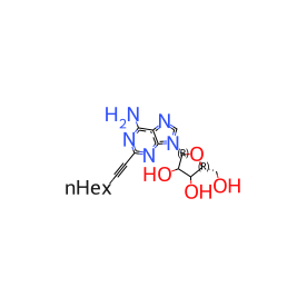 CCCCCCC#Cc1nc(N)c2ncn([C@@H]3O[C@H](CO)C(O)C3O)c2n1